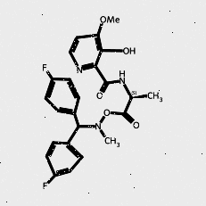 COc1ccnc(C(=O)N[C@@H](C)C(=O)ON(C)C(c2ccc(F)cc2)c2ccc(F)cc2)c1O